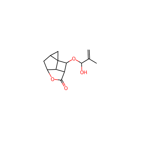 C=C(C)C(O)OC1C2C(=O)OC3CC4CC41C32